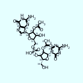 CC(=O)OC1C(OP(=O)(O)OC[C@H]2O[C@@H](n3cnc4c(=O)[nH]c(N)nc43)C(OC(C)=O)C2O)[C@@H](CO)O[C@H]1n1cnc(N)nc1=O